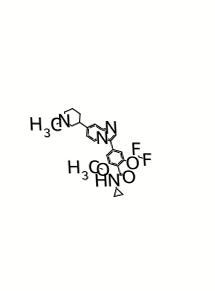 COc1cc(-c2cnc3cc(C4CCCN(C)C4)ccn23)cc(OC(F)F)c1C(=O)NC1CC1